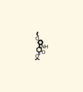 C=CCOc1ccc2[nH]c3c(c2c1)CC/C(=C\OC(C)C)C3=O